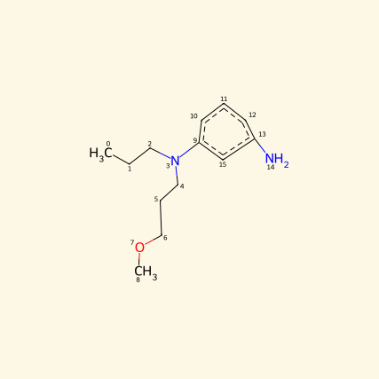 CCCN(CCCOC)c1cccc(N)c1